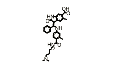 Cc1cc2c(cc1C(=O)O)NC(=O)/C2=C(/Nc1ccc(C(=O)NOCCCN(C)C)c(C)c1)c1ccccc1